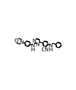 N#Cc1cc(-c2ccnc(Nc3ccc(N4CCOCC4)cc3)n2)ccc1NCc1ccccc1